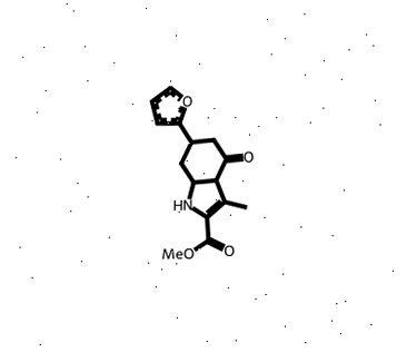 COC(=O)C1=C(C)C2C(=O)CC(c3ccco3)CC2N1